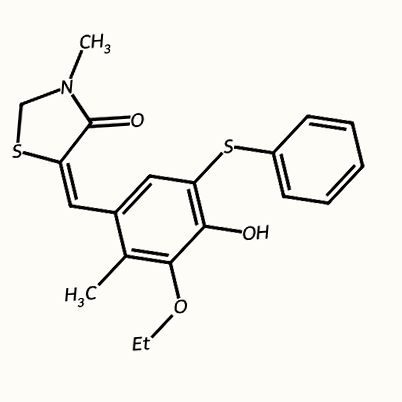 CCOc1c(C)c(C=C2SCN(C)C2=O)cc(Sc2ccccc2)c1O